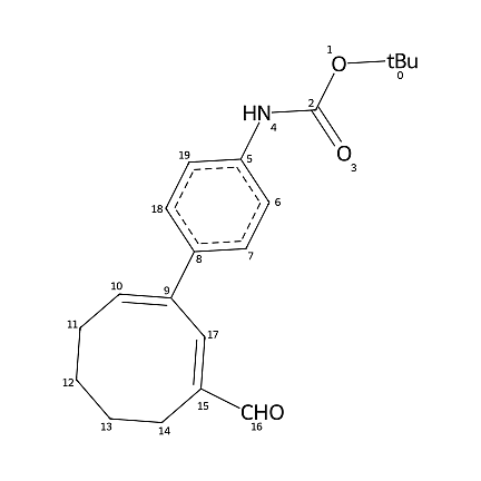 CC(C)(C)OC(=O)Nc1ccc(C2=C/CCCC/C(C=O)=C\2)cc1